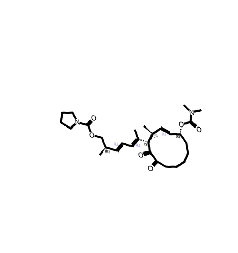 C/C(=C\C=C\[C@@H](C)COC(=O)N1CCCC1)[C@H]1C(=O)C(=O)CCCCC[C@@H](OC(=O)N(C)C)/C=C/[C@@H]1C